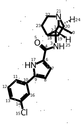 C[C@H]1[C@H](NC(=O)c2ccc(-c3cccc(Cl)c3)[nH]2)C2CCN1CC2